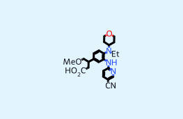 CCN(c1ccc(C(COC)CC(=O)O)cc1Nc1ccc(C#N)cn1)C1CCOCC1